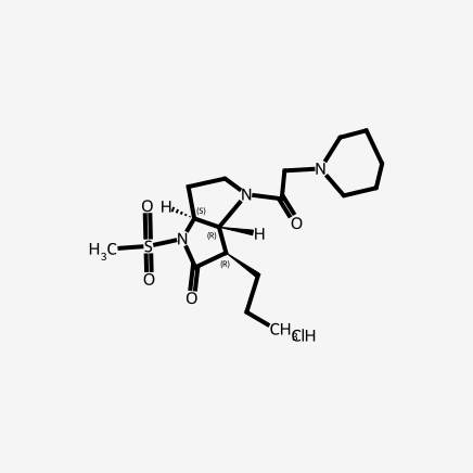 CCC[C@H]1C(=O)N(S(C)(=O)=O)[C@H]2CCN(C(=O)CN3CCCCC3)[C@H]12.Cl